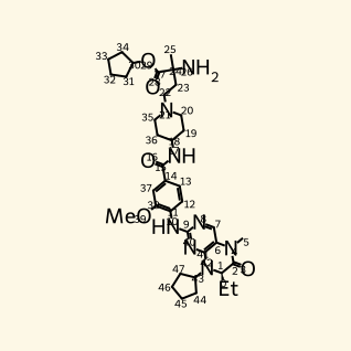 CC[C@@H]1C(=O)N(C)c2cnc(Nc3ccc(C(=O)NC4CCN(CCC(C)(N)C(=O)OC5CCCC5)CC4)cc3OC)nc2N1C1CCCC1